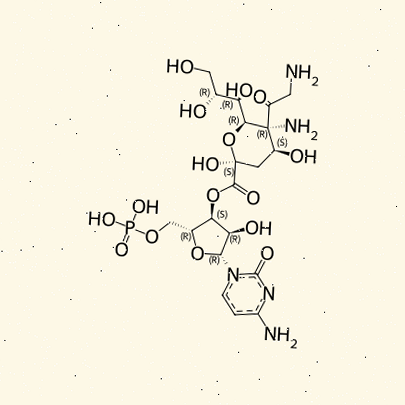 NCC(=O)[C@@]1(N)[C@@H](O)C[C@@](O)(C(=O)O[C@H]2[C@@H](O)[C@H](n3ccc(N)nc3=O)O[C@@H]2COP(=O)(O)O)O[C@H]1[C@H](O)[C@H](O)CO